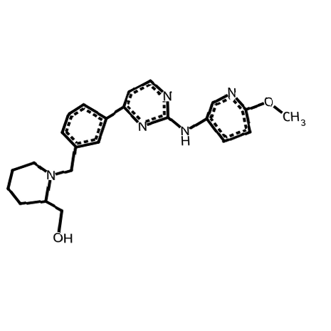 COc1ccc(Nc2nccc(-c3cccc(CN4CCCCC4CO)c3)n2)cn1